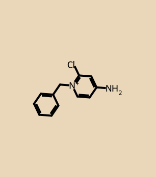 Nc1cc[n+](Cc2ccccc2)c(Cl)c1